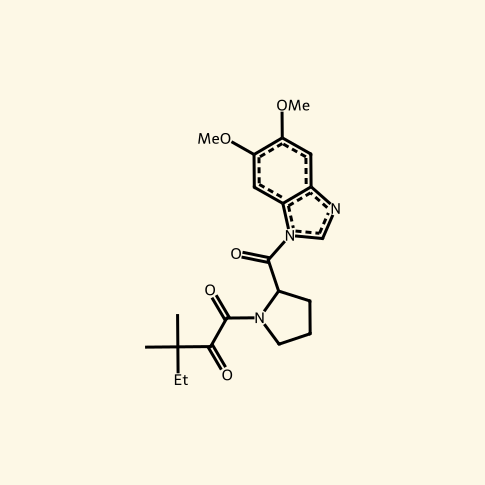 CCC(C)(C)C(=O)C(=O)N1CCCC1C(=O)n1cnc2cc(OC)c(OC)cc21